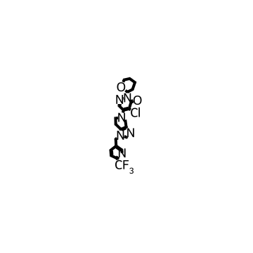 O=c1c(Cl)c(N2CCc3c(ncn3Cc3ccc(C(F)(F)F)nc3)C2)cnn1C1CCCCO1